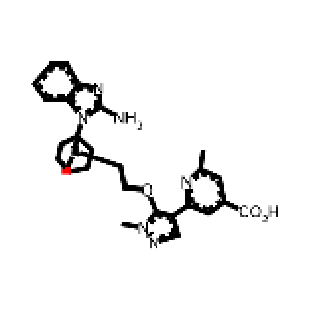 Cc1cc(C(=O)O)cc(-c2cnn(C)c2OCCN2CC3CCC(n4c(N)nc5ccccc54)(CC3)C2)n1